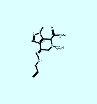 C=CCON=C1CN(C(=O)O)C(C(=O)OC)c2c1cnn2C